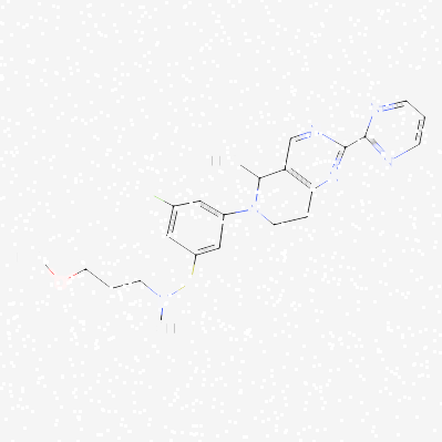 COCCCN(C)Sc1cc(F)cc(N2CCc3nc(-c4ncccn4)ncc3C2C)c1